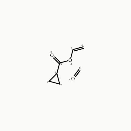 C=COC(=O)C1CC1.C=O